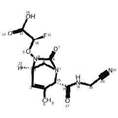 CC1=C[C@@H]2CN(C(=O)N2O[C@H](F)C(=O)O)[C@@H]1C(=O)NCC#N